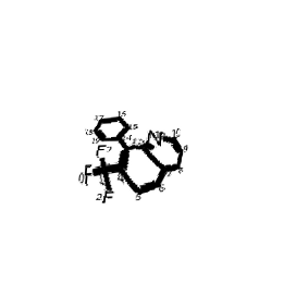 FC(F)(F)c1ccc2cccnc2c1-c1ccccc1